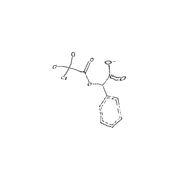 O=C(OC(c1ccccc1)[N+](=O)[O-])C(Cl)(Cl)Cl